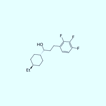 CC[C@H]1CC[C@H](C(O)CCc2ccc(F)c(F)c2F)CC1